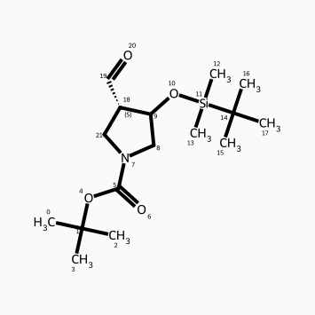 CC(C)(C)OC(=O)N1CC(O[Si](C)(C)C(C)(C)C)[C@@H](C=O)C1